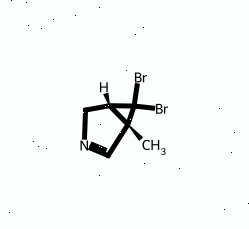 C[C@@]12C=NC[C@@H]1C2(Br)Br